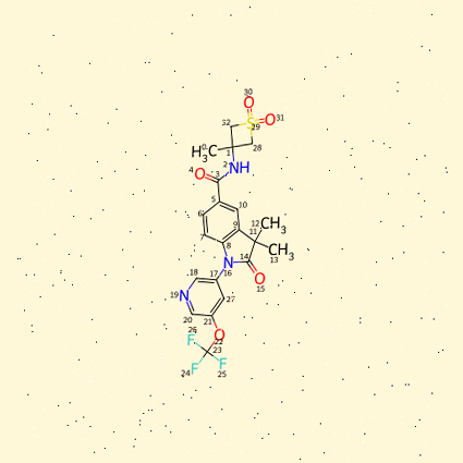 CC1(NC(=O)c2ccc3c(c2)C(C)(C)C(=O)N3c2cncc(OC(F)(F)F)c2)CS(=O)(=O)C1